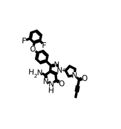 CC#CC(=O)N1CC[C@@H](n2nc(-c3ccc(Oc4c(F)cccc4F)cc3)c3c(N)n[nH]c(=O)c32)C1